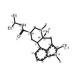 CCC(CC)NC(=O)[C@@H]1CC2c3cccc4c3c(c(C(F)(F)F)n4C)C[C@H]2N(C)C1